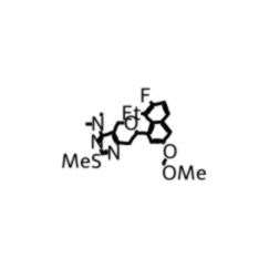 CCc1c(F)ccc2cc(OCOC)cc(C3Cc4nc(SC)nc(N(C)C)c4CO3)c12